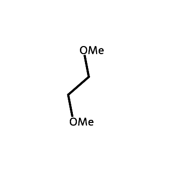 [CH2-][OH+]CCOC